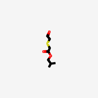 CC(C)COC(=O)CSC[C]=O